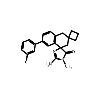 CN1C(=O)C2(CC3(CCC3)Cc3ccc(-c4cccc(Cl)c4)cc32)N=C1N